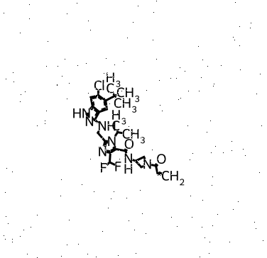 C=CC(=O)N1CC(NC(=O)c2c(C(F)F)nc(CNc3n[nH]c4cc(Cl)c(C(C)(C)C)cc34)n2C(C)C)C1